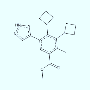 COC(=O)c1cc(-c2cn[nH]n2)c(C2CCC2)c(C2CCC2)c1C